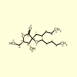 CCCCCO[C@@]1(CCCCC)C(=O)O[C@H](CO)[C@H]1O